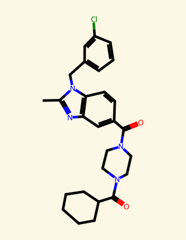 Cc1nc2cc(C(=O)N3CCN(C(=O)C4CCCCC4)CC3)ccc2n1Cc1cccc(Cl)c1